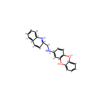 c1ccc2c(c1)Oc1ccc(NCc3ccc4ccccc4n3)cc1O2